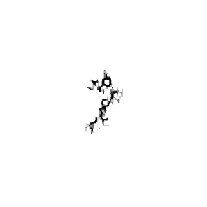 CCN(C)C[C@H](O)C[C@H](C(C)C)N1CC2(CCN(c3ncnnc3Oc3ccc(F)cc3C(=O)N(CC)C(C)C)C2)C1